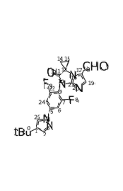 CC(C)(C)c1cnn(-c2cc(F)c(N3C(=O)C4(CC4)n4c(C=O)cnc43)c(F)c2)c1